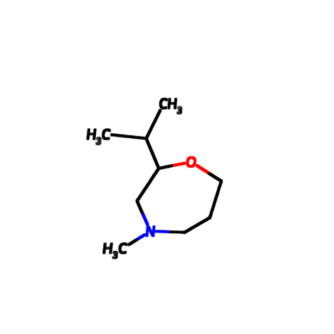 CC(C)C1CN(C)CCCO1